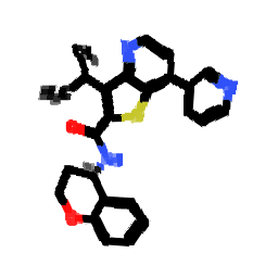 CC(C)c1c(C(=O)N[C@H]2CCOc3ccccc32)sc2c(-c3cccnc3)ccnc12